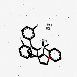 Cl.Cl.[CH3][Zr](=[SiH2])([C]1=C(c2cccc(F)c2)C=CC1)([C]1=C(c2cccc(F)c2)C=CC1)[c]1ccccc1